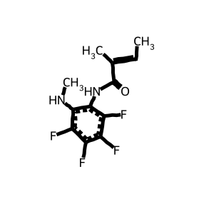 C/C=C(\C)C(=O)Nc1c(F)c(F)c(F)c(F)c1NC